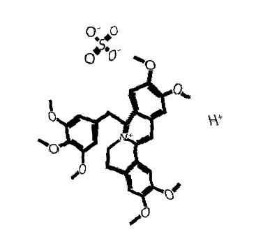 COc1cc2c(cc1OC)-c1cc3cc(OC)c(OC)cc3c(Cc3cc(OC)c(OC)c(OC)c3)[n+]1CC2.O=S(=O)([O-])[O-].[H+]